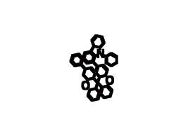 C1=CC2OC3CC(c4ccccc4)C=CC3C3(C4=CCCC=C4OC4C=CC(c5cccc6c5N(C5=CCCC=C5)C5C=CC=CC65)=CC43)C2C=C1